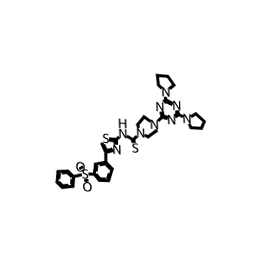 O=S(=O)(c1ccccc1)c1cccc(-c2csc(NC(=S)N3CCN(c4nc(N5CCCC5)nc(N5CCCC5)n4)CC3)n2)c1